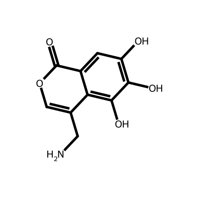 NCc1coc(=O)c2cc(O)c(O)c(O)c12